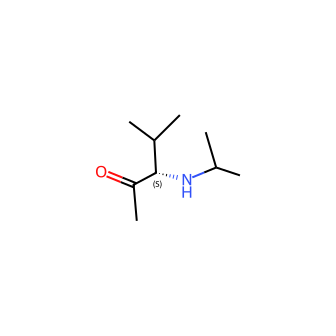 CC(=O)[C@@H](NC(C)C)C(C)C